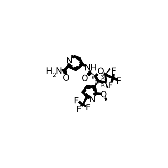 COc1nc(C(F)(F)F)ccc1[C@H]1[C@H](C(=O)Nc2ccnc(C(N)=O)c2)O[C@](C)(C(F)(F)F)[C@H]1C